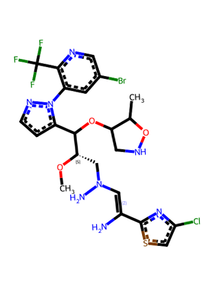 CO[C@@H](CN(N)/C=C(\N)c1nc(Cl)cs1)C(OC1CNOC1C)c1ccnn1-c1cc(Br)cnc1C(F)(F)F